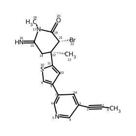 CC#Cc1cncc(-c2csc([C@@]3(C)CC(=N)N(C)C(=O)[C@@H]3Br)c2)c1